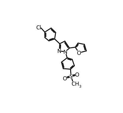 CS(=O)(=O)c1ccc(-n2nc(-c3ccc(Cl)cc3)cc2-c2ccco2)cc1